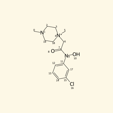 CN1CC[N+](C)(CC(=O)N(O)c2cccc(Cl)c2)CC1